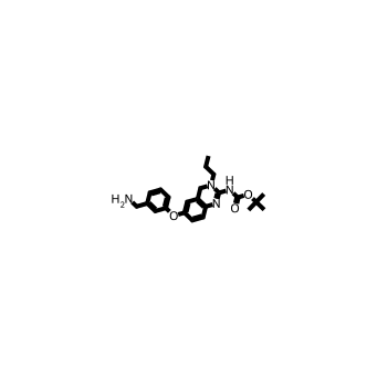 CCCN1Cc2cc(Oc3cccc(CN)c3)ccc2N=C1NC(=O)OC(C)(C)C